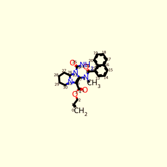 C=CCOC(=O)C1=C(N(C)C(=O)c2cccc3ccccc23)N(C(N)=O)C2CCCCN12